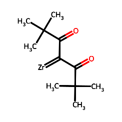 CC(C)(C)C(=O)[C](=[Zr])C(=O)C(C)(C)C